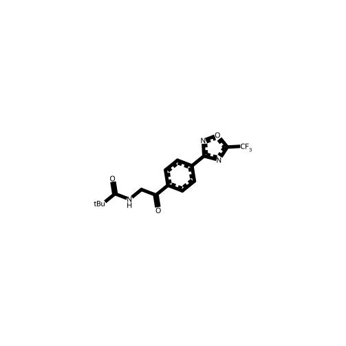 CC(C)(C)C(=O)NCC(=O)c1ccc(-c2noc(C(F)(F)F)n2)cc1